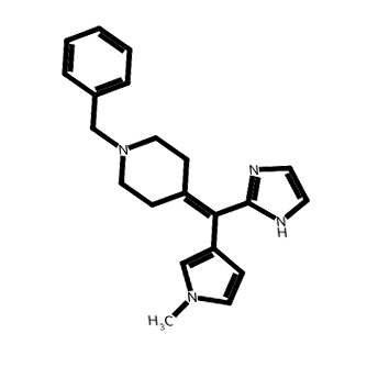 Cn1ccc(C(=C2CCN(Cc3ccccc3)CC2)c2ncc[nH]2)c1